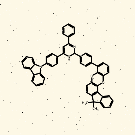 CC1(C)c2ccccc2-c2c1ccc1c2Oc2cccc(-c3ccc(C4N=C(c5ccccc5)C=C(c5ccc(-n6c7ccccc7c7ccccc76)cc5)N4)cc3)c2O1